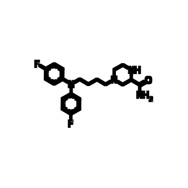 NC(=O)C1CN(CCCCN(c2ccc(F)cc2)c2ccc(F)cc2)CCN1